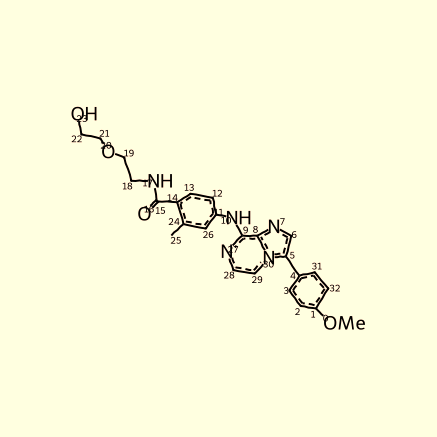 COc1ccc(-c2cnc3c(Nc4ccc(C(=O)NCCOCCO)c(C)c4)nccn23)cc1